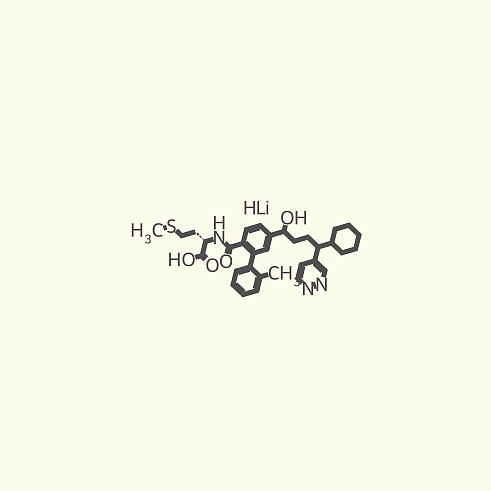 CSCC[C@H](NC(=O)c1ccc(C(O)CCC(c2ccnnc2)C2CCCCC2)cc1-c1ccccc1C)C(=O)O.[LiH]